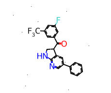 O=C(c1cc(F)cc(C(F)(F)F)c1)C1CNc2ncc(-c3ccccc3)cc21